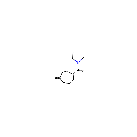 C=C1CCCC(C(=C)N(C)CC)CC1